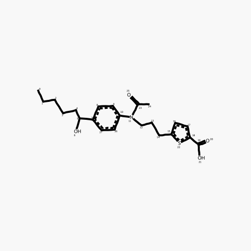 CCCCCC(O)c1ccc(N(CCCc2ccc(C(=O)O)s2)C(C)=O)cc1